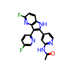 CC(=O)Nc1cc(-c2[nH]c3ccc(F)nc3c2-c2ccc(F)cn2)ccn1